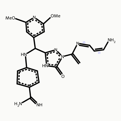 C=C(/N=C\C=C/N)n1nc(C(Nc2ccc(C(=N)N)cc2)c2cc(OC)nc(OC)c2)[nH]c1=O